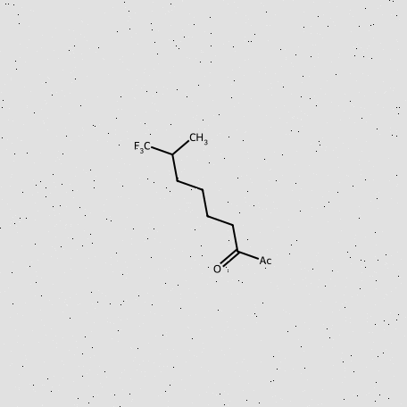 CC(=O)C(=O)CCCCC(C)C(F)(F)F